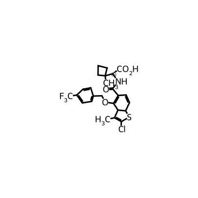 CC1=C(Cl)SC2C=CC(C(=O)N[C@H](C(=O)O)C3(C)CCC3)=C(OCc3ccc(C(F)(F)F)cc3)C12